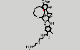 COc1ccc(-c2cnc3n2C2(CCCCCCCCCC2)CNC3Nc2ccc(C(=O)NCCOCCN)c(C)c2)c(F)c1